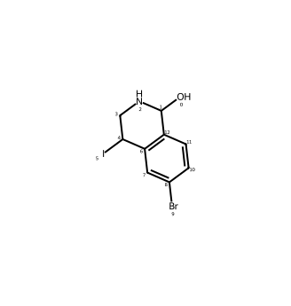 OC1NCC(I)c2cc(Br)ccc21